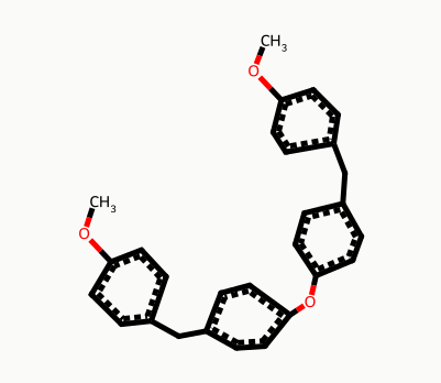 COc1ccc(Cc2ccc(Oc3ccc(Cc4ccc(OC)cc4)cc3)cc2)cc1